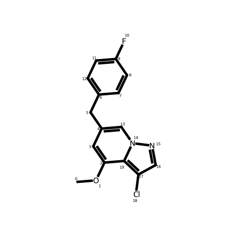 COc1cc(Cc2ccc(F)cc2)cn2ncc(Cl)c12